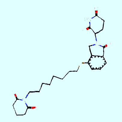 O=C1CCC(N2Cc3c(SCCCCCCCCN4C(=O)CCCC4=O)cccc3C2=O)C(=O)N1